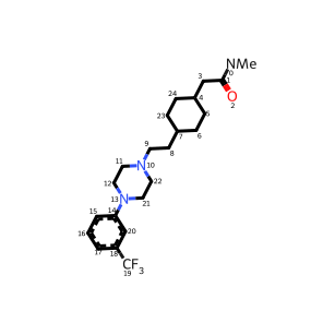 CNC(=O)CC1CCC(CCN2CCN(c3cccc(C(F)(F)F)c3)CC2)CC1